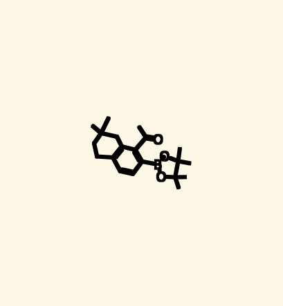 CC(=O)c1c(B2OC(C)(C)C(C)(C)O2)ccc2c1CC(C)(C)CC2